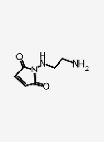 NCCNN1C(=O)C=CC1=O